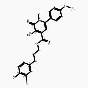 Cn1c(-c2ccc(OC(F)(F)F)cc2)cc(C(=O)NCCCc2ccc(Cl)c(Cl)c2)c(O)c1=O